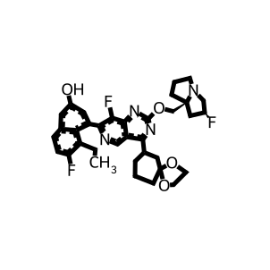 CCc1c(F)ccc2cc(O)cc(-c3ncc4c(C5CCCC6(C5)OCCO6)nc(OC[C@@]56CCCN5C[C@H](F)C6)nc4c3F)c12